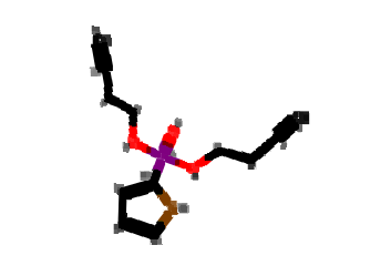 C#CCCOP(=O)(OCCC#C)c1cccs1